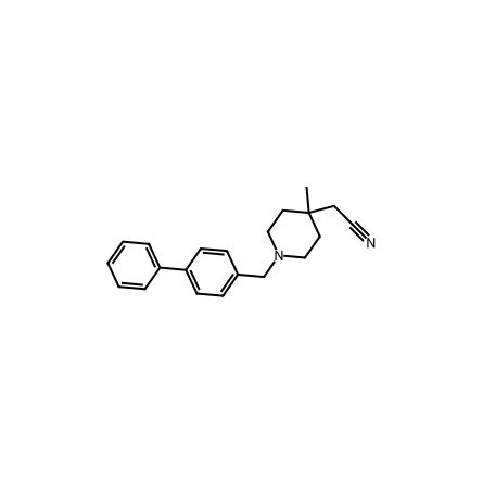 CC1(CC#N)CCN(Cc2ccc(-c3ccccc3)cc2)CC1